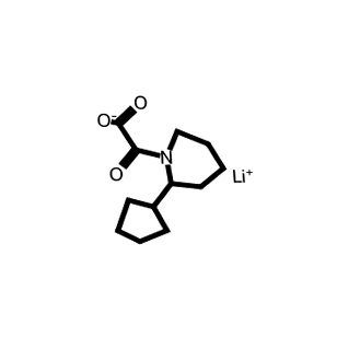 O=C([O-])C(=O)N1CCCCC1C1CCCC1.[Li+]